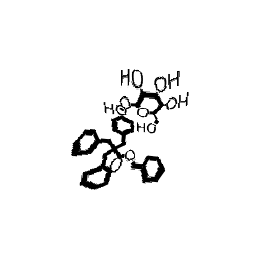 O=C(OCc1ccccc1)C(Cc1ccccc1)(Cc1ccccc1)Cc1ccccc1.OC[C@H]1OC(OO)[C@H](O)[C@@H](O)[C@H]1O